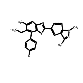 Cc1cc2nc(-c3ccc4c(c3)c(C)nn4C)sc2c(-c2ccc(Cl)cc2)c1CC(=O)O